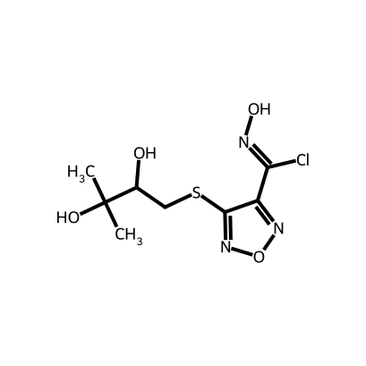 CC(C)(O)C(O)CSc1nonc1/C(Cl)=N/O